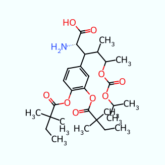 CCC(C)(C)C(=O)Oc1ccc(C(C(C)C(C)OC(=O)OC(C)C)[C@H](N)C(=O)O)cc1OC(=O)C(C)(C)CC